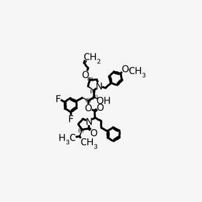 C=CCO[C@@H]1C[C@H]([C@H](O)[C@H](Cc2cc(F)cc(F)c2)OC(=O)C(CCc2ccccc2)N2CC[C@H](C(C)C)C2=O)N(Cc2ccc(OC)cc2)C1